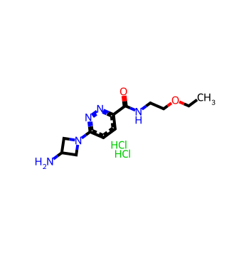 CCOCCNC(=O)c1ccc(N2CC(N)C2)nn1.Cl.Cl